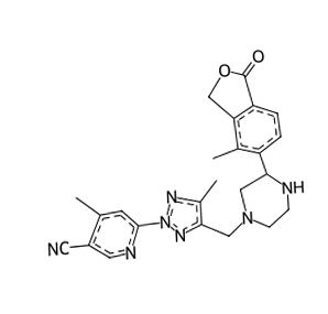 Cc1cc(-n2nc(C)c(CN3CCNC(c4ccc5c(c4C)COC5=O)C3)n2)ncc1C#N